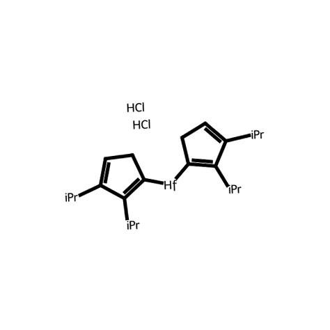 CC(C)C1=CC[C]([Hf][C]2=C(C(C)C)C(C(C)C)=CC2)=C1C(C)C.Cl.Cl